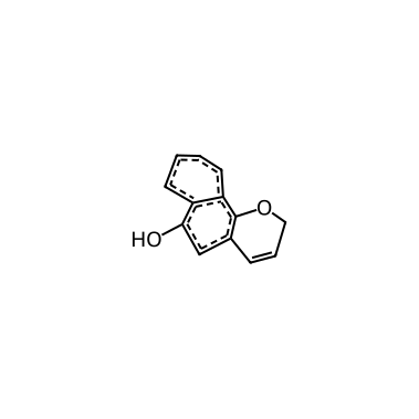 Oc1cc2c(c3ccccc13)OCC=C2